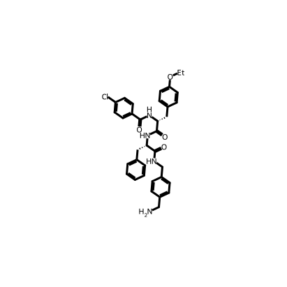 CCOc1ccc(C[C@@H](NC(=O)c2ccc(Cl)cc2)C(=O)N[C@@H](Cc2ccccc2)C(=O)NCc2ccc(CN)cc2)cc1